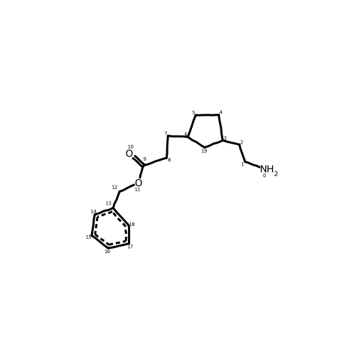 NCCC1CCC(CCC(=O)OCc2ccccc2)C1